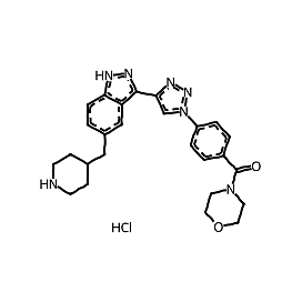 Cl.O=C(c1ccc(-n2cc(-c3n[nH]c4ccc(CC5CCNCC5)cc34)nn2)cc1)N1CCOCC1